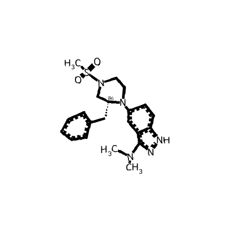 CN(C)c1n[nH]c2ccc(N3CCN(S(C)(=O)=O)C[C@H]3Cc3ccccc3)cc12